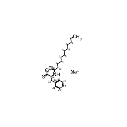 CCCCCCCCCCCC(=O)NC(Cc1ccccc1)C(=O)[O-].[Na+]